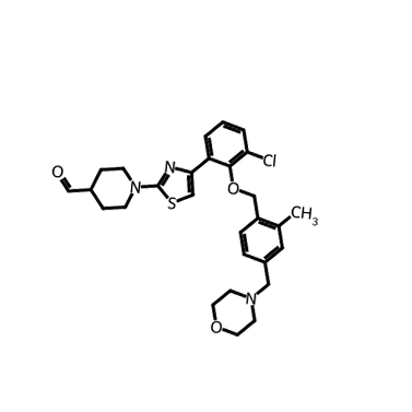 Cc1cc(CN2CCOCC2)ccc1COc1c(Cl)cccc1-c1csc(N2CCC(C=O)CC2)n1